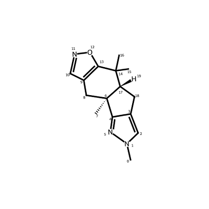 Cn1cc2c(n1)[C@@]1(C)Cc3cnoc3C(C)(C)[C@@H]1C2